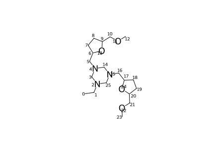 CCN1CN(CC2CCC(COC)O2)CN(CC2CCC(COC)O2)C1